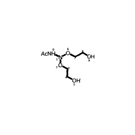 CC(=O)NN(OCCO)OCCO